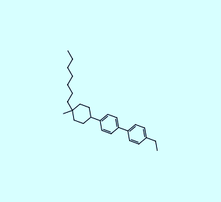 CCCCCCCC1(C)CCC(c2ccc(-c3ccc(CC)cc3)cc2)CC1